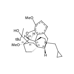 COc1ccc2c3c1O[C@H]1[C@]4(OC)CC[C@@]5(C[C@@H]4C(C)(O)C(C)(C)C)[C@@H](C2)N(CC2CC2)CC[C@]315